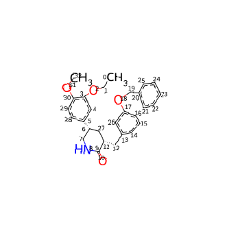 CCOc1cc([C@H]2CNC(=O)[C@@H](Cc3cccc(OCc4ccccc4)c3)C2)ccc1OC